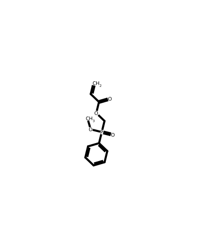 C=CC(=O)OCP(=O)(OC)c1ccccc1